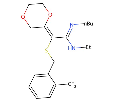 CCCC/N=C(NCC)/C(SCc1ccccc1C(F)(F)F)=C1/COCCO1